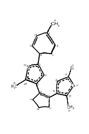 CC1=CCC(c2cc(C3=C(c4cc(Cl)sc4C)CCC3)c(C)s2)C=C1